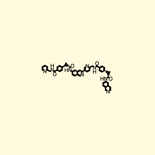 O=C(NCc1ccccn1)c1ccc(C2C[C@H]2C(=O)Nc2ccc3cnc(-c4ccc(CNC(=O)c5ccc([C@@H]6C[C@H]6C(=O)Nc6ccc7cnccc7c6)cc5)nc4)cc3c2)cc1